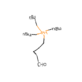 CCCC[PH](CCC=O)(CCCC)CCCC